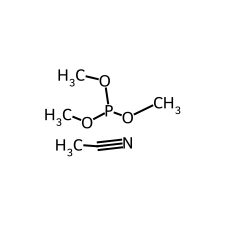 CC#N.COP(OC)OC